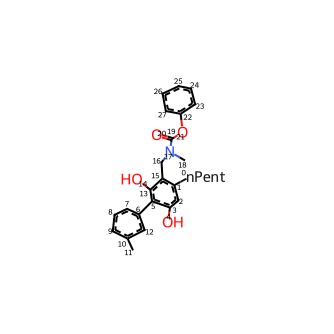 CCCCCc1cc(O)c(-c2cccc(C)c2)c(O)c1CN(C)C(=O)Oc1ccccc1